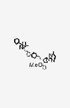 COC(=O)[C@H]1CN(c2nccc(C)n2)C[C@H]1CCc1ccc(OCCc2nc(-c3ccccc3)oc2C)cc1